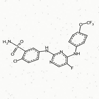 NS(=O)(=O)c1cc(Nc2ncc(F)c(Nc3ccc(OC(F)(F)F)cc3)n2)ccc1Cl